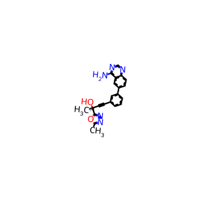 Cc1nnc([C@](C)(O)C#Cc2cccc(-c3ccc4ncnc(N)c4c3)c2)o1